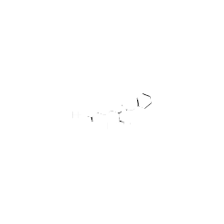 O=C(O)CCCC(=NCc1ccccc1)C(=O)O